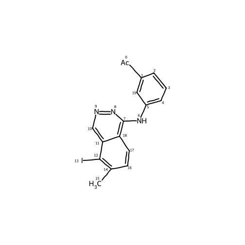 CC(=O)c1cccc(Nc2nncc3c(I)c(C)ccc23)c1